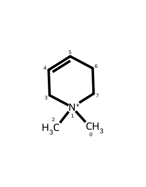 C[N+]1(C)CC=CCC1